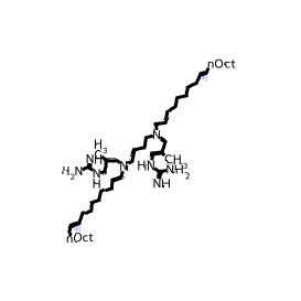 CCCCCCCC/C=C/CCCCCCCCN(CCCCN(CCCCCCCC/C=C/CCCCCCCC)CC(C)CNC(=N)N)CC(C)CNC(=N)N